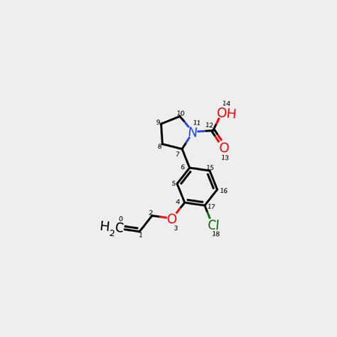 C=CCOc1cc(C2CCCN2C(=O)O)ccc1Cl